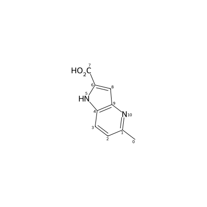 Cc1ccc2[nH]c(C(=O)O)cc2n1